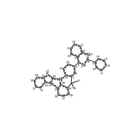 CC1(C)c2cc(-c3nc(-c4ccccc4)nc4ccccc34)ccc2-n2c3sc4ccccc4c3c3cccc1c32